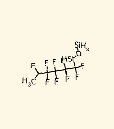 CC(F)C(F)(F)C(F)(F)C(F)(F)C(F)(F)[SiH]O[SiH3]